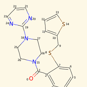 O=C(c1ccccc1SCc1cccs1)N1CCN(c2ncccn2)CC1